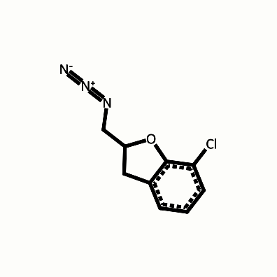 [N-]=[N+]=NCC1Cc2cccc(Cl)c2O1